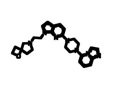 c1cc(N2CCN(c3ccc4ccn(CCN5CCC6(CCO6)C5)c4n3)CC2)n2ccnc2c1